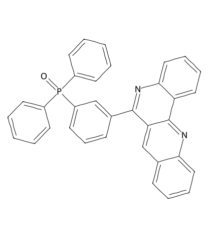 O=P(c1ccccc1)(c1ccccc1)c1cccc(-c2nc3ccccc3c3nc4ccccc4cc23)c1